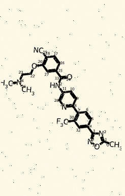 Cc1nc(-c2ccc(-c3ccc(NC(=O)c4ccc(C#N)c(OCCN(C)C)c4)cn3)c(C(F)(F)F)c2)no1